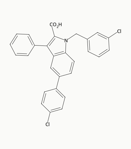 O=C(O)c1c(-c2ccccc2)c2cc(-c3ccc(Cl)cc3)ccc2n1Cc1cccc(Cl)c1